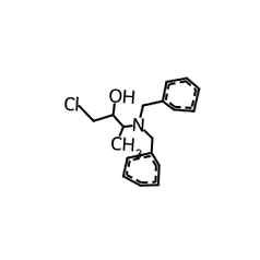 CC(C(O)CCl)N(Cc1ccccc1)Cc1ccccc1